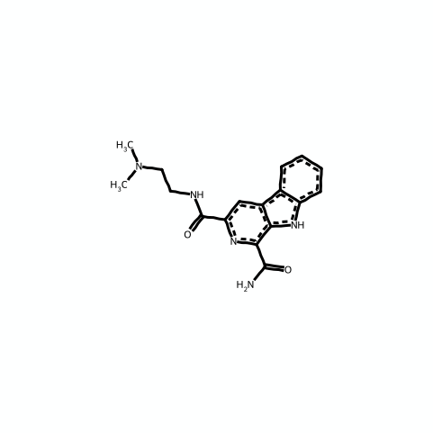 CN(C)CCNC(=O)c1cc2c([nH]c3ccccc32)c(C(N)=O)n1